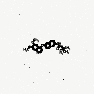 COc1cc2nccc(Oc3ccc4cc(NC(=O)CC(C)(C)C)ccc4c3)c2cc1OC